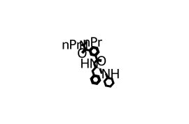 CCCN(CCC)C(=O)c1cccc(C(=O)N[C@H](CCNC2CCCCC2)Cc2ccccc2)c1